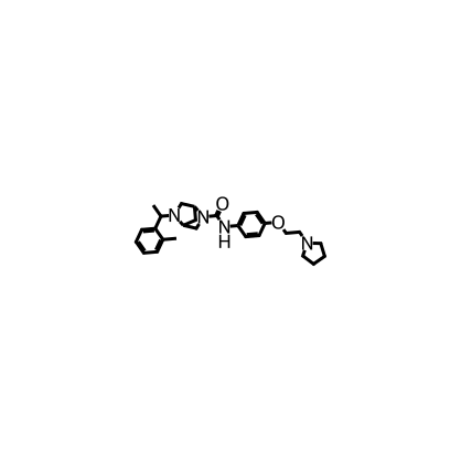 Cc1ccccc1C(C)N1CC2CC1CN2C(=O)Nc1ccc(OCCN2CCCC2)cc1